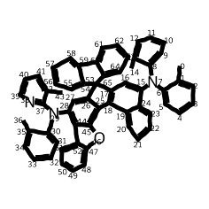 Cc1ccccc1N(c1ccccc1C)c1cc2c(c3ccccc13)-c1c(cc(N(c3ccccc3C)c3ncccc3C)c3c1oc1ccccc13)C21c2ccccc2-c2ccccc21